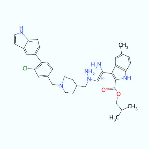 Cc1ccc2[nH]c(C(=O)OCC(C)C)c(/C(N)=C/N(N)CC3CCN(Cc4ccc(-c5ccc6[nH]ccc6c5)c(Cl)c4)CC3)c2c1